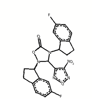 O=C1ON(C2CCc3ccc(F)cc32)C(c2nonc2[N+](=O)[O-])N1C1CCc2ccc(F)cc21